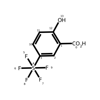 O=C(O)c1cc(S(F)(F)(F)(F)F)ccc1O